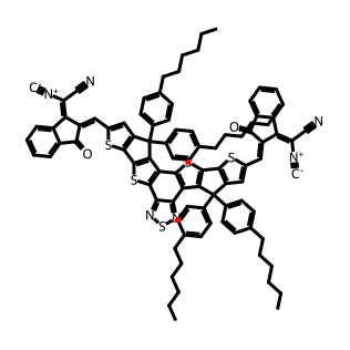 [C-]#[N+]/C(C#N)=C1\C(=C\c2cc3c(s2)-c2sc4c(c2C3(c2ccc(CCCCCC)cc2)c2ccc(CCCCCC)cc2)c2nsnc2c2sc3c(c24)C(c2ccc(CCCCCC)cc2)(c2ccc(CCCCCC)cc2)c2cc(/C=C4\C(=O)c5ccccc5\C4=C(\C#N)[N+]#[C-])sc2-3)C(=O)c2ccccc21